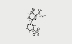 CCCC(=O)c1nn(-c2cccc(S(C)(=O)=O)c2)ccc1=O